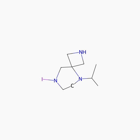 CC(C)N1CCN(I)CC12CNC2